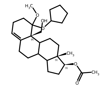 COC1(OC2CCCC2)CCC=C2CCC3C4CC[C@H](OC(C)=O)[C@@]4(C)CCC3[C@]21CO